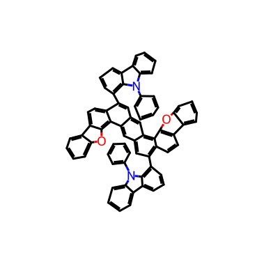 c1ccc(-n2c3ccccc3c3cccc(-c4cc5cc6c(cc(-c7cccc8c9ccccc9n(-c9ccccc9)c78)c7ccc8c9ccccc9oc8c76)cc5c5c4ccc4c6ccccc6oc45)c32)cc1